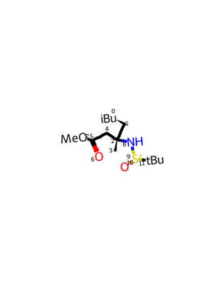 CC[C@H](C)C[C@@](C)(CC(=O)OC)N[S+]([O-])C(C)(C)C